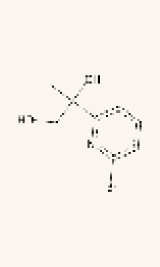 CC(O)(CO)c1cccc(Br)n1